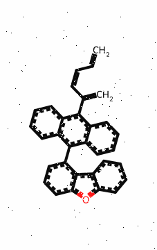 C=C/C=C\C(=C)c1c2ccccc2c(-c2cccc3oc4ccccc4c23)c2ccccc12